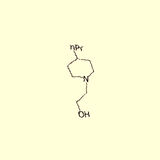 [CH2]CCC1CCN(CCO)CC1